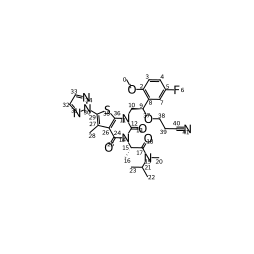 COc1ccc(F)cc1[C@H](Cn1c(=O)n([C@@H](C)C(=O)N(C)C(C)C)c(=O)c2c(C)c(-n3nccn3)sc21)OCCC#N